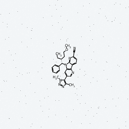 CCC(CCOC)[C@@H](c1ccccc1)n1c2cc(-c3c(C)nnn3C)cnc2c2ccc(C#N)nc21